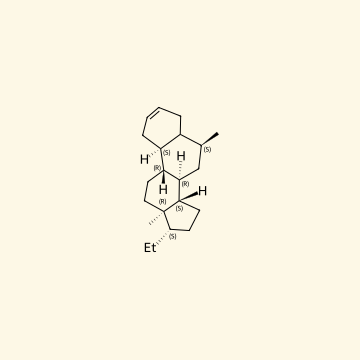 CC[C@H]1CC[C@H]2[C@@H]3C[C@H](C)C4CC=CC[C@@H]4[C@H]3CC[C@]12C